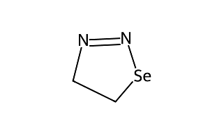 C1C[Se]N=N1